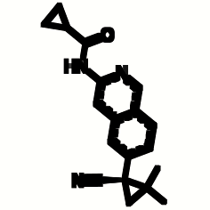 CC1(C)C[C@]1(C#N)c1ccc2cnc(NC(=O)C3CC3)cc2c1